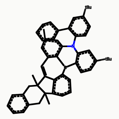 Cc1cc2c3c(c1)N(c1ccc(C(C)(C)C)cc1-c1ccccc1)c1cc(C(C)(C)C)ccc1B3c1cccc3c1C(=C2)C1(C)Cc2ccccc2CC31C